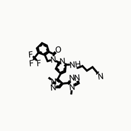 Cn1cnnc1-c1cnn(C)c1-c1cc(NCCCCC#N)nc(N2Cc3c(cccc3C(F)(F)F)C2=O)c1